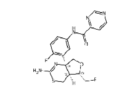 NC1=N[C@@]2(c3cc(NC(=O)c4ccncn4)ccc3F)CO[C@H](CF)[C@H]2CS1